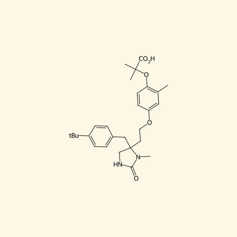 Cc1cc(OCCC2(Cc3ccc(C(C)(C)C)cc3)CNC(=O)N2C)ccc1OC(C)(C)C(=O)O